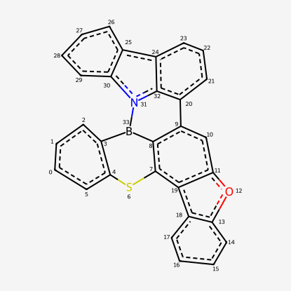 c1ccc2c(c1)Sc1c3c(cc4oc5ccccc5c14)-c1cccc4c5ccccc5n(c14)B23